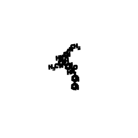 C=NCc1cc(Nc2cc(C)nc(-c3ccc(C(=O)NCc4ccc(-c5cccnc5)nc4)nc3)n2)[nH]n1